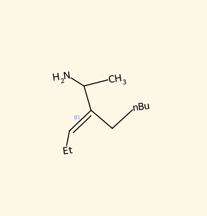 CC/C=C(\CCCCC)C(C)N